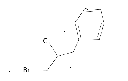 ClC(CBr)Cc1ccccc1